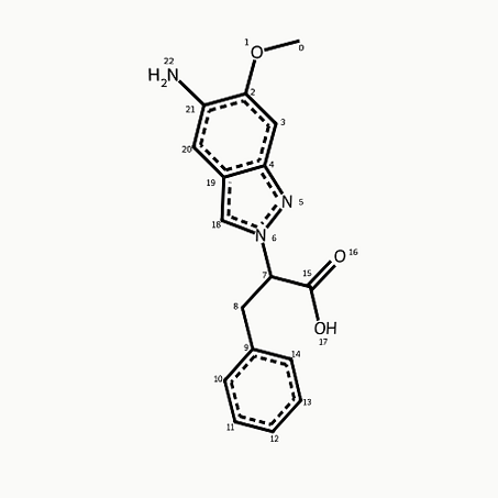 COc1cc2nn(C(Cc3ccccc3)C(=O)O)cc2cc1N